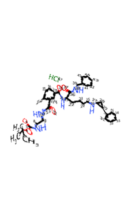 CC(C)(C)OC(=O)NCCNC(=O)c1cccc(C(=O)NC(CCCCN[C@@H]2C[C@H]2c2ccccc2)C(=O)NCc2ccccc2)c1.Cl